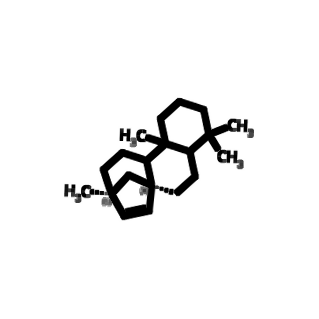 CC1(C)CCCC2(C)C1CC[C@@]13C=C[C@@](C)(CCC21)C3